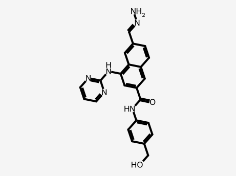 NN=Cc1ccc2cc(C(=O)Nc3ccc(CO)cc3)cc(Nc3ncccn3)c2c1